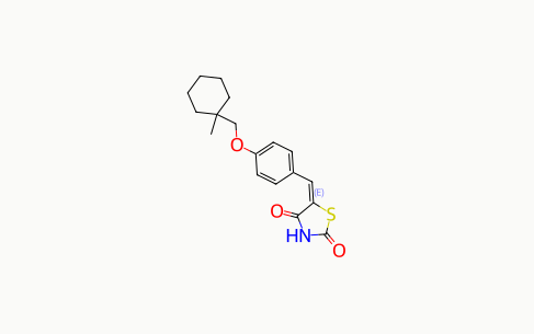 CC1(COc2ccc(/C=C3/SC(=O)NC3=O)cc2)CCCCC1